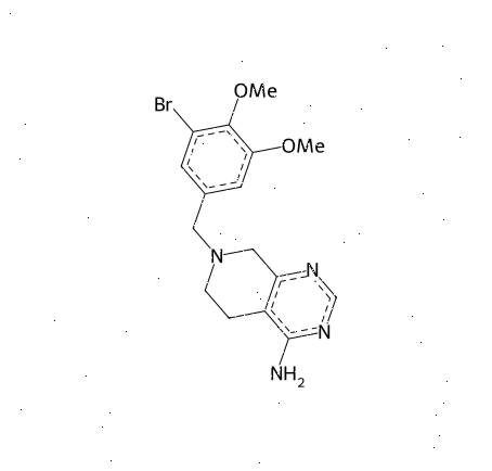 COc1cc(CN2CCc3c(N)ncnc3C2)cc(Br)c1OC